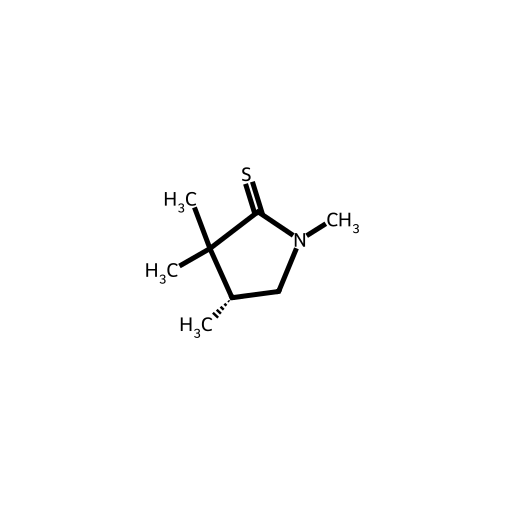 C[C@H]1CN(C)C(=S)C1(C)C